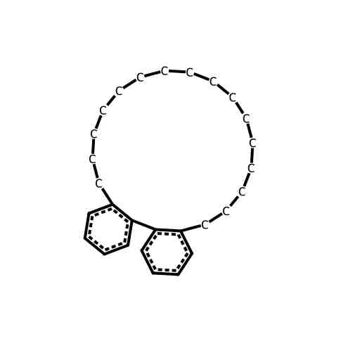 c1ccc2c(c1)CCCCCCCCCCCCCCCCc1ccccc1-2